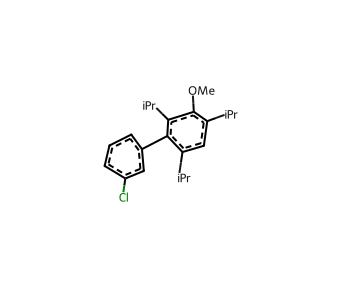 COc1c(C(C)C)cc(C(C)C)c(-c2cccc(Cl)c2)c1C(C)C